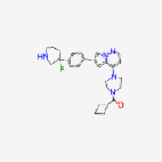 O=C(C1CCC1)N1CCN(c2ccnn3cc(-c4ccc(C5(F)CCCNC5)cc4)cc23)CC1